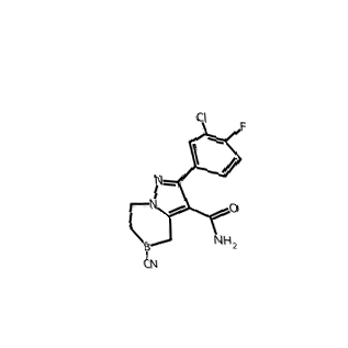 N#CB1CCn2nc(-c3ccc(F)c(Cl)c3)c(C(N)=O)c2C1